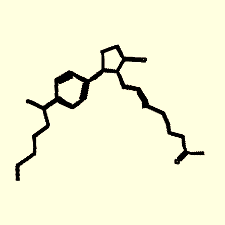 CCCCCC(C)c1ccc(C2CCC(=O)C2C/C=C/CCCC(C)=O)cc1